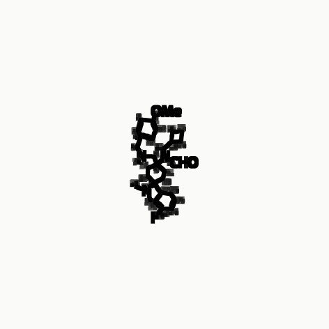 COc1ccc(CN(C)CC2(N(C=O)CC3CCC3)CCC(C3C=C(F)C=CC3)(N(C)C)CC2)cc1